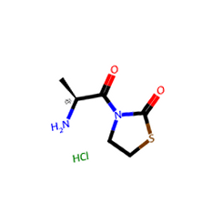 C[C@H](N)C(=O)N1CCSC1=O.Cl